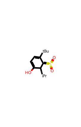 CC(C)C1C(O)=CC=C(C(C)(C)C)C1=S(=O)=O